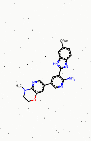 COc1ccc2nc(-c3cc(-c4cnc5c(c4)OCCN5C)cnc3N)[nH]c2c1